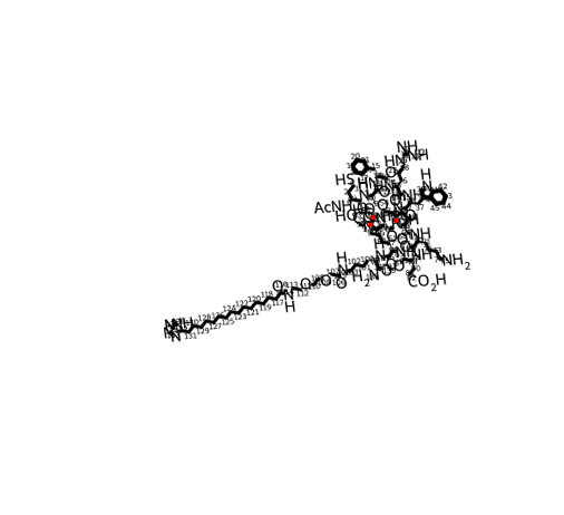 CC(=O)N[C@@H](CCS)C(=O)N[C@@H](CO)C(=O)N[C@H](Cc1ccccc1)C(=O)N[C@@H](CCCNC(=N)N)C(=O)N[C@@H](Cc1c[nH]c2ccccc12)C(=O)N[C@@H](CS)C(=O)N1CCC[C@H]1C(=O)N1CCC[C@H]1C(=O)N[C@@H](CCCCN)C(=O)N[C@@H](CCC(=O)O)C(=O)N[C@@H](CCCCN(CC(=O)O)CC(=O)O)C(=O)N[C@@H](CCCCNC(=O)COCCOCCNC(=O)CCCCCCCCCCCCCCCc1nnn[nH]1)C(N)=O